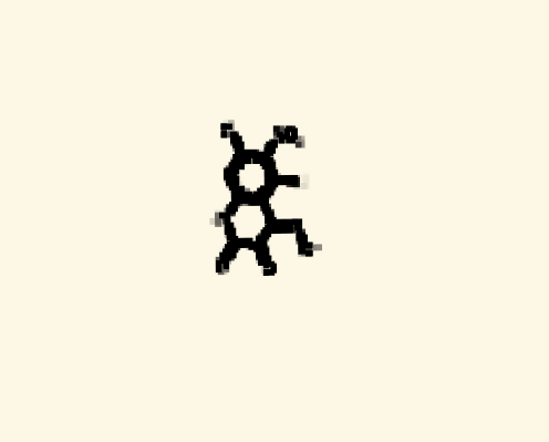 O=C1Nc2cc(Cl)c([N+](=O)[O-])c(Cl)c2C(=NO)C1=O